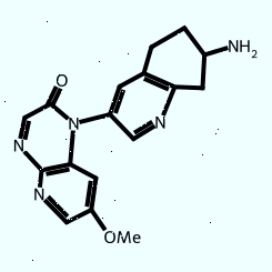 COc1cnc2ncc(=O)n(-c3cnc4c(c3)CCC(N)C4)c2c1